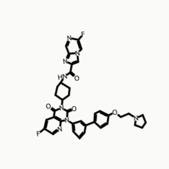 O=C(NC1CCC(n2c(=O)c3cc(F)cnc3n(-c3cccc(-c4ccc(OCCN5CCCC5)cc4)c3)c2=O)CC1)c1cn2cc(F)ncc2n1